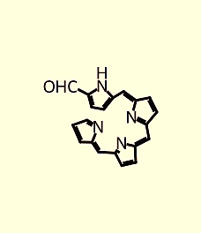 O=Cc1ccc(C=C2C=CC(C=C3C=CC(C=C4C=CC=N4)=N3)=N2)[nH]1